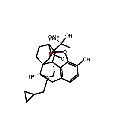 CO[C@@]12CC[C@]3(C[C@@]1(O)[C@](C)(O)C(C)(C)C)[C@@H]1Cc4ccc(O)c5c4[C@]3(CCN1CC1CC1)[C@@H]2O5